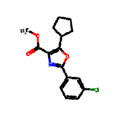 COC(=O)c1nc(-c2cccc(Cl)c2)oc1C1CCCC1